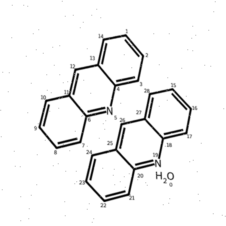 O.c1ccc2nc3ccccc3cc2c1.c1ccc2nc3ccccc3cc2c1